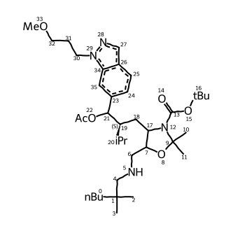 CCCCC(C)(C)CNCC1OC(C)(C)N(C(=O)OC(C)(C)C)C1C[C@@H](C(C)C)C(OC(C)=O)c1ccc2cnn(CCCOC)c2c1